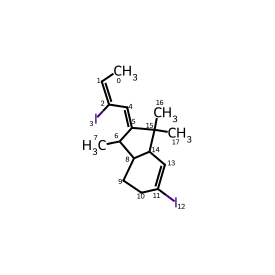 C/C=C(I)\C=C1/C(C)C2CCC(I)=CC2C1(C)C